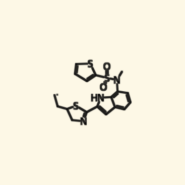 [CH2]CC1CN=C(c2cc3cccc(N(C)S(=O)(=O)c4cccs4)c3[nH]2)S1